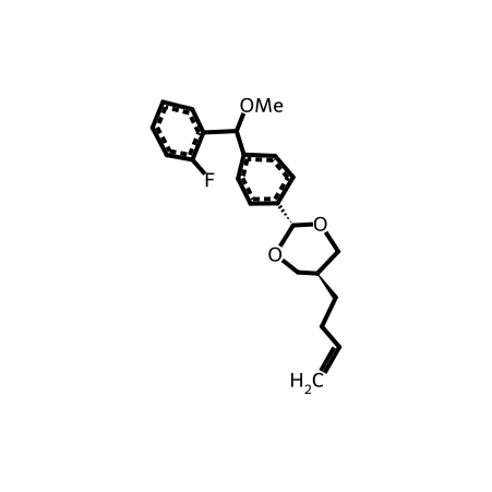 C=CCC[C@H]1CO[C@H](c2ccc(C(OC)c3ccccc3F)cc2)OC1